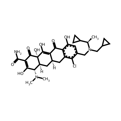 C[C@H](C1CC1)N(Cc1cc(O)c2c(c1Cl)C[C@H]1C[C@H]3[C@H](N(C)C)C(O)=C(C(N)=O)C(=O)[C@@]3(O)C(O)=C1C2=O)CC1CC1